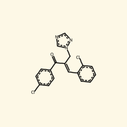 O=C(/C(=C/c1ccccc1Cl)Cn1cncn1)c1ccc(Cl)cc1